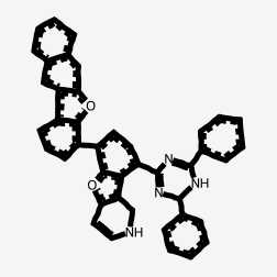 C1=Cc2oc3c(-c4cccc5c4oc4cc6ccccc6cc45)ccc(C4=NC(c5ccccc5)NC(c5ccccc5)=N4)c3c2CN1